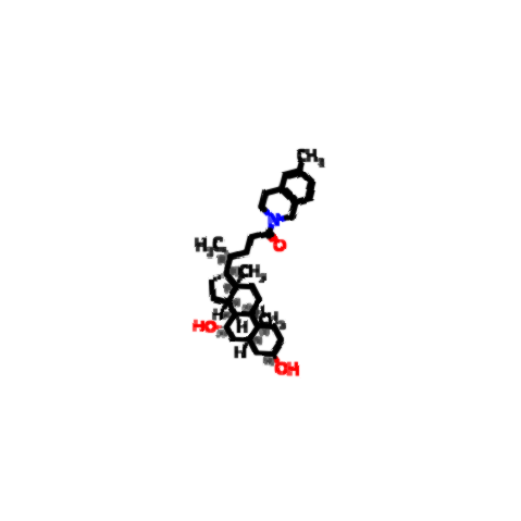 Cc1ccc2c(c1)CCN(C(=O)CC[C@@H](C)[C@H]1CC[C@H]3[C@@H]4[C@@H](O)C[C@@H]5C[C@H](O)CC[C@]5(C)[C@H]4CC[C@]13C)C2